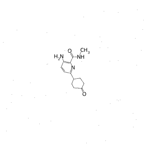 CNC(=O)c1nc(C2CCC(=O)CC2)ccc1N